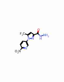 NNC(=O)c1cc(C(F)(F)F)n(-c2ccc([N+](=O)[O-])nc2)n1